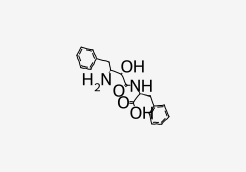 N[C@H](Cc1ccccc1)[C@H](O)C(=O)N[C@@H](Cc1ccccc1)C(=O)O